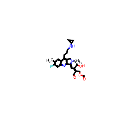 Cc1cc2c(CCCNC3CC3)c3c(nc2cc1F)/C(=C/C(=C(\C=O)COC=O)C(C)O)N(C)C3